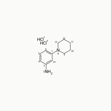 Cl.Cl.Nc1cccc(N2CCCCC2)c1